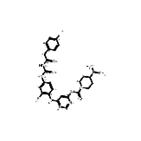 CN(C)C1CCN(C(=O)Nc2cc(Oc3ccc(NC(=S)NC(=O)Cc4ccc(F)cc4)cc3F)ncn2)CC1